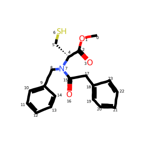 COC(=O)[C@@H](CS)N(Cc1ccccc1)C(=O)Cc1ccccc1